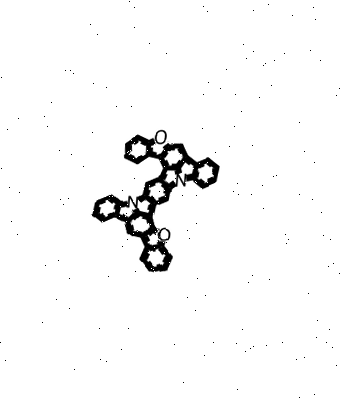 c1ccc2c(c1)oc1c2cc2c3ccccc3n3c4cc5c6c7c(cc8c9ccccc9n(c5cc4c1c23)c86)oc1ccccc17